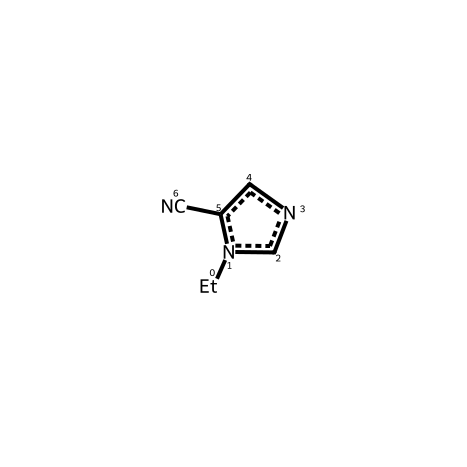 CCn1cncc1C#N